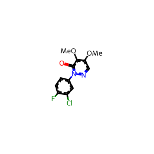 COc1cnn(-c2ccc(F)c(Cl)c2)c(=O)c1OC